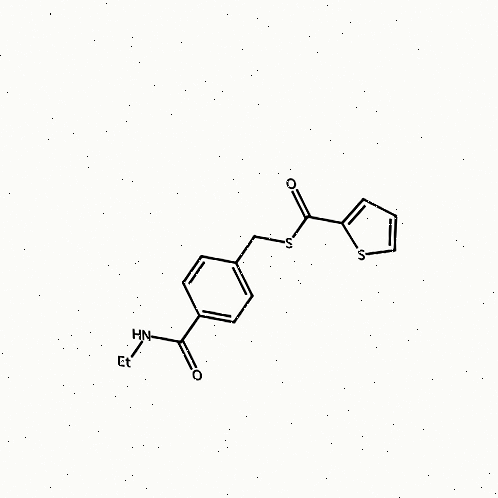 CCNC(=O)c1ccc(CSC(=O)c2cccs2)cc1